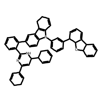 C1=CCC(C2C=C(C3=CCCC=C3)N=C(c3ccccc3-c3ccc4c(c3)c3c(n4-c4cccc(C5C=CC=C6C7C=CC=CC7OC65)c4)C=CCC3)N2)C=C1